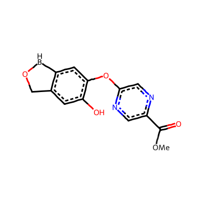 COC(=O)c1cnc(Oc2cc3c(cc2O)COB3)cn1